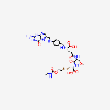 CCNC(=O)OCCSSC[C@H](NC(=O)[C@H](COC)NC(=O)CC[C@H](NCc1ccc(NCc2cnc3nc(N)[nH]c(=O)c3n2)cc1)C(=O)O)C(=O)O